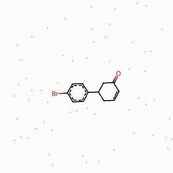 O=C1C=CCC(c2ccc(Br)cc2)C1